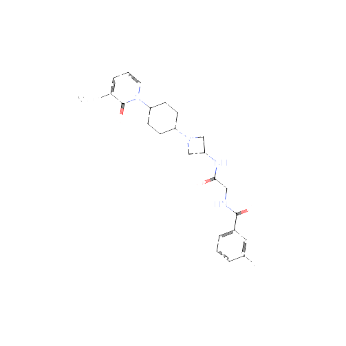 COc1cccn(C2CCC(N3CC(NC(=O)CNC(=O)c4cccc(C(F)(F)F)c4)C3)CC2)c1=O